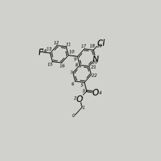 CCOC(=O)c1ccc2c(-c3ccc(F)cc3)cc(Cl)nc2c1